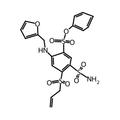 C=CCS(=O)(=O)c1cc(NCc2ccco2)c(S(=O)(=O)Oc2ccccc2)cc1S(N)(=O)=O